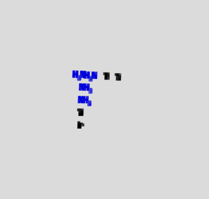 N.N.N.N.[Ir].[Ti].[Ti].[Ti]